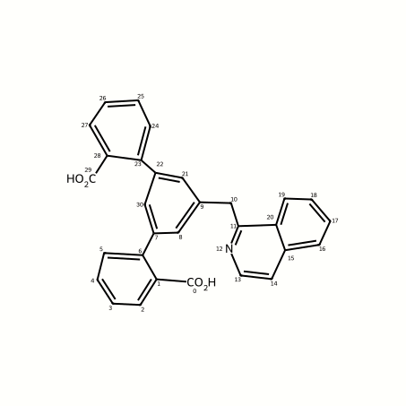 O=C(O)c1ccccc1-c1cc(Cc2nccc3ccccc23)cc(-c2ccccc2C(=O)O)c1